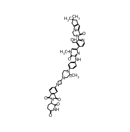 C[C@H]1CN(C2CN(c3ccc4c(c3)C(=O)N(C3CCC(=O)NC3=O)C4=O)C2)CCN1c1ccc(Nc2nc(-c3ccnc(N4CCn5c(cc6c5CC(C)(C)C6)C4=O)c3CO)cn(C)c2=O)cc1